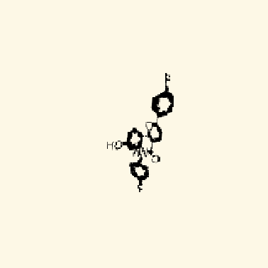 O=C(Nc1ccc(F)cc1)[C@@H]1CC[C@@H](c2ccc(F)cc2)O[C@H]1c1ccc(O)cc1